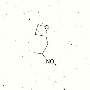 CC(CC1CCO1)[N+](=O)[O-]